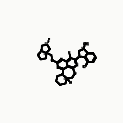 O[C@@H]1CN(c2nc3c4c(nc(OC[C@@]56CCCN5C[C@H](F)C6)nc4c2F)N2CCCC[C@H]2CO3)c2c(Cl)cccc21